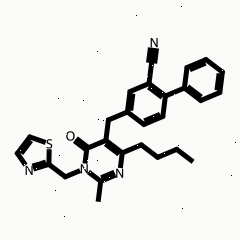 CCCCc1nc(C)n(Cc2nccs2)c(=O)c1Cc1ccc(-c2ccccc2)c(C#N)c1